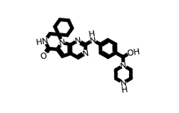 O=C1NCC2(CCCCC2)n2c1cc1cnc(Nc3ccc(C(O)N4CCNCC4)cc3)nc12